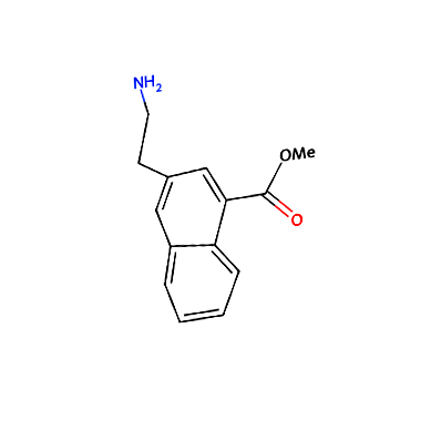 COC(=O)c1cc(CCN)cc2ccccc12